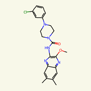 COc1nc2cc(C)c(C)cc2nc1NC(=O)N1CCN(c2cccc(Cl)c2)CC1